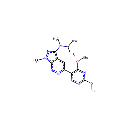 CC(N(C)c1nn(C)c2nnc(-c3cnc(OC(C)(C)C)nc3OC(C)(C)C)cc12)C(C)(C)C